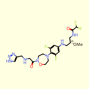 CO[C@@H](CNC(=O)C(F)F)CNc1cc(F)c(N2CCON(C(=O)CNCc3c[nH]nn3)CC2)c(F)c1